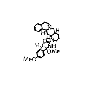 COc1ccc([C@](C)(NC(=O)N2CCC[C@@H]3CN4CCc5ccccc5[C@H]4C[C@@H]32)OC)cc1